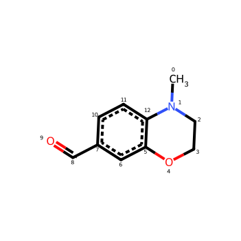 CN1CCOc2cc([C]=O)ccc21